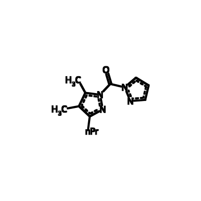 CCCc1nn(C(=O)n2cccn2)c(C)c1C